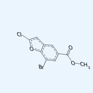 COC(=O)c1cc(Br)c2oc(Cl)cc2c1